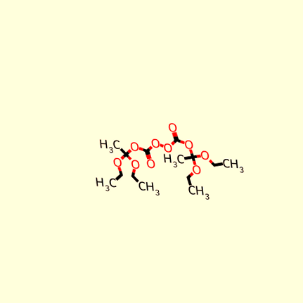 CCOC(C)(OCC)OC(=O)OOC(=O)OC(C)(OCC)OCC